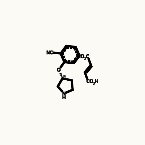 N#Cc1ccccc1O[C@@H]1CCNC1.O=C(O)C=CC(=O)O